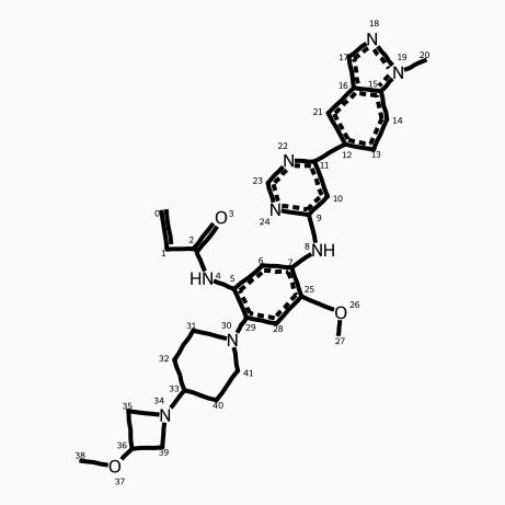 C=CC(=O)Nc1cc(Nc2cc(-c3ccc4c(cnn4C)c3)ncn2)c(OC)cc1N1CCC(N2CC(OC)C2)CC1